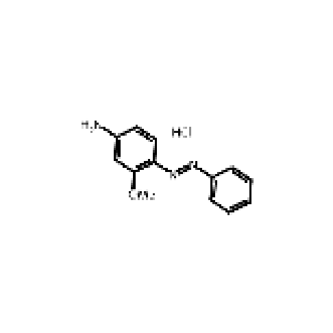 COc1cc(N)ccc1/N=N/c1ccccc1.Cl